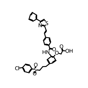 O=C(O)COc1ccc(CCCS(=O)(=O)c2ccc(Cl)cc2)cc1NC(=O)c1ccc(C=Cc2nc(-c3ccccc3)cs2)cc1